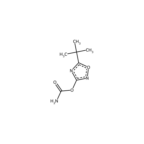 CC(C)(C)c1nc(OC(N)=O)no1